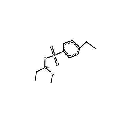 CCc1ccc(S(=O)(=O)O[SiH](CC)OC)cc1